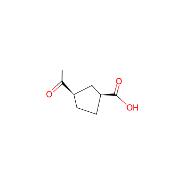 CC(=O)[C@@H]1CC[C@H](C(=O)O)C1